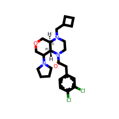 O=C(Cc1ccc(Cl)c(Cl)c1)N1CCN(CC2CCC2)[C@@H]2COCC(N3CCCC3)[C@H]21